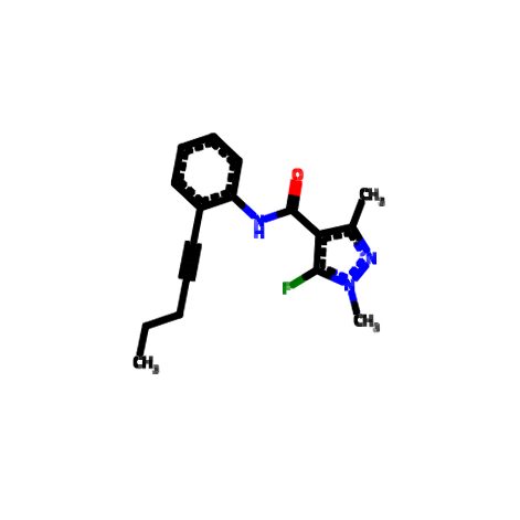 CCCC#Cc1ccccc1NC(=O)c1c(C)nn(C)c1F